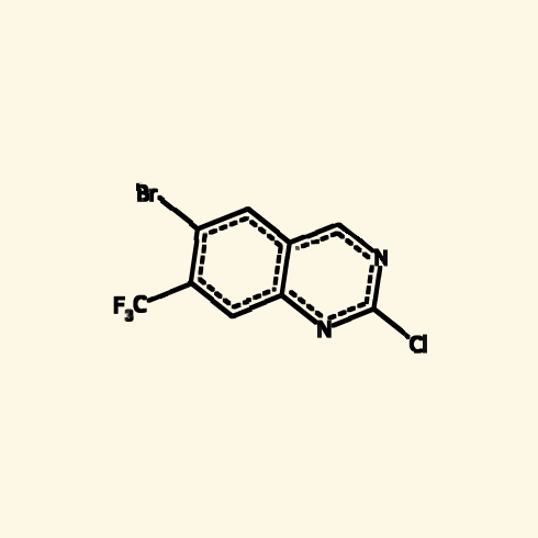 FC(F)(F)c1cc2nc(Cl)ncc2cc1Br